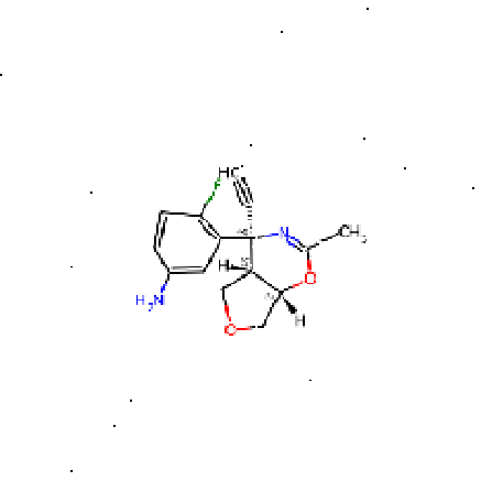 C#C[C@]1(c2cc(N)ccc2F)N=C(C)O[C@@H]2COC[C@@H]21